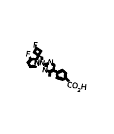 Cc1nc(NC[C@]2(c3ncccc3F)C[C@H](F)C2)ncc1-c1ccc(CC(=O)O)cc1